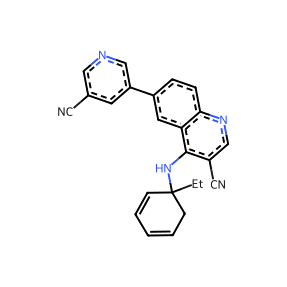 CCC1(Nc2c(C#N)cnc3ccc(-c4cncc(C#N)c4)cc23)C=CC=CC1